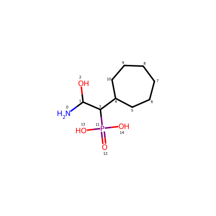 NC(O)C(C1CCCCCC1)P(=O)(O)O